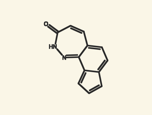 O=c1ccc2ccc3cccc3c2n[nH]1